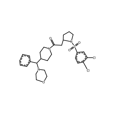 O=C(CC1CCCN1S(=O)(=O)c1ccc(Cl)c(Cl)c1)N1CCC(C(c2ccccc2)N2CCOCC2)CC1